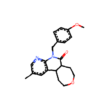 COc1ccc(CN2C(=O)C3CCOCCC3c3cc(C)cnc32)cc1